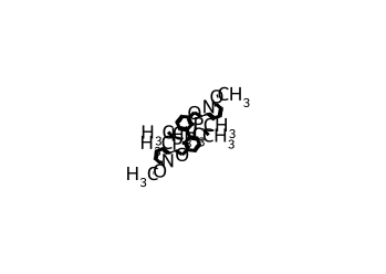 COc1cccc([C@@H]2Oc3cccc(-c4cccc5c4[P@@](C(C)(C)C)[C@H](c4cccc(OC)n4)O5)c3[P@@]2C(C)(C)C)n1